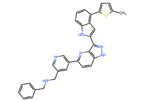 Cc1ccc(-c2cccc3[nH]c(-c4n[nH]c5ccc(-c6cncc(CNCc7ccccc7)c6)nc45)cc23)s1